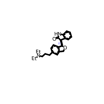 CCN(CC)CCCc1ccc2c(c1)CO/C2=C1/C(=O)Nc2ccccc21